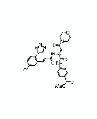 COC(=O)c1ccc(NC(=O)[C@H](CC(=O)N2CCOCC2)NC(=O)C=Cc2cc(Cl)ccc2-n2cnnn2)cc1